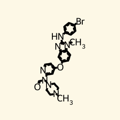 CN1CCN(N(C=O)c2cc(Oc3ccc4c(c3)nc(Nc3ccc(Br)cc3)n4C)ccn2)CC1